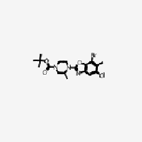 Cc1c(Cl)cc2nc(N3CCN(C(=O)OC(C)(C)C)C[C@@H]3C)oc2c1Br